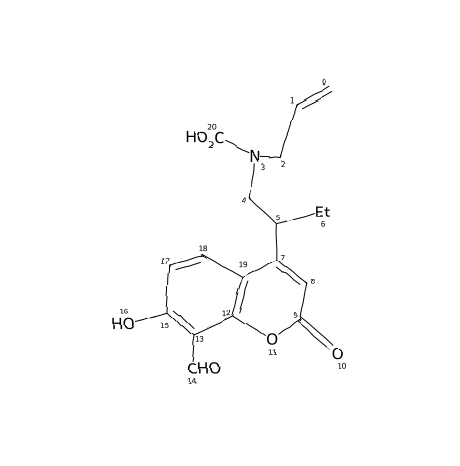 C=CCN(CC(CC)c1cc(=O)oc2c(C=O)c(O)ccc12)C(=O)O